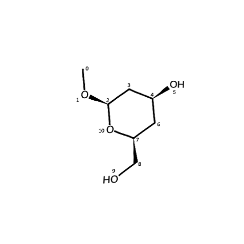 CO[C@H]1C[C@@H](O)C[C@@H](CO)O1